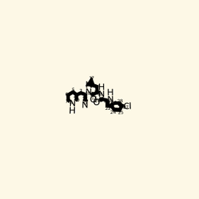 N#CC(CC1CCCNC1)NC(=O)C(CC1CC1)NC(=O)c1cc2ccc(Cl)cc2[nH]1